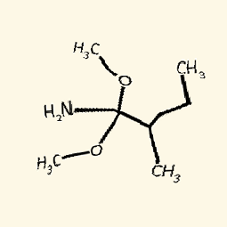 CCC(C)C(N)(OC)OC